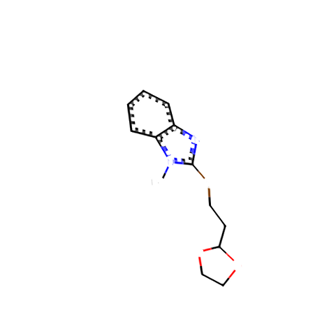 Cn1c(SCCC2OCCO2)nc2ccccc21